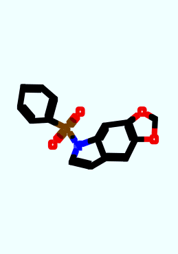 O=S(=O)(c1ccccc1)n1ccc2cc3c(cc21)OCO3